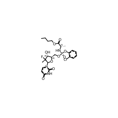 CCCCOC(=O)[C@H](C)NP(=O)(OC[C@H]1OC(n2ccc(=O)[nH]c2=O)[C@](C)(F)[C@@H]1O)Oc1ccccc1Cl